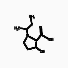 CCC(C)N1CCC(O)C1C(=O)O